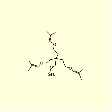 CC(C)=COCCC(CCOC=C(C)C)(CCOC=C(C)C)CO[SiH3]